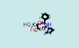 C[C@H](NC(=O)[C@@H]1CCCN1C)c1ccccc1.O=C(O)C(O)C(O)C(=O)O